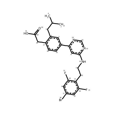 CC(C)Cc1cc(-c2cc(NCCc3c(F)cc(Br)cc3F)ncn2)ccc1CC(=O)O